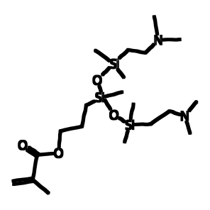 C=C(C)C(=O)OCCC[Si](C)(O[Si](C)(C)CCN(C)C)O[Si](C)(C)CCN(C)C